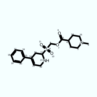 CN1CCC(C(=O)OCS(=O)(=O)C2CC(c3ccccc3)=CCN2)CC1